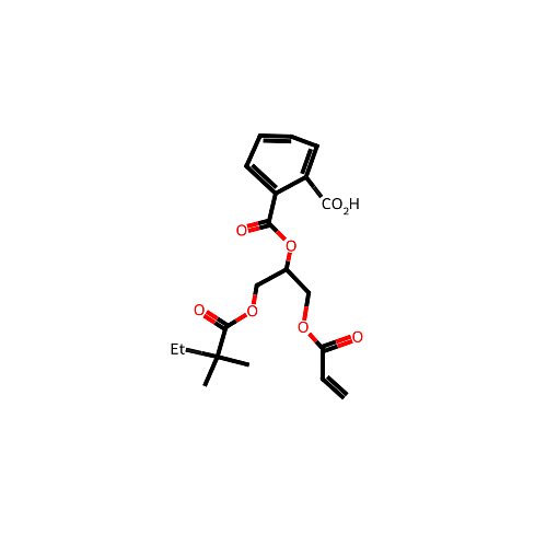 C=CC(=O)OCC(COC(=O)C(C)(C)CC)OC(=O)c1ccccc1C(=O)O